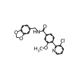 COc1cc(C(=O)NCc2ccc3c(c2)OCO3)ccc1-c1ncccc1Cl